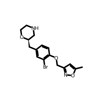 Cc1cc(COc2ccc(C[C@@H]3CNCCO3)cc2Br)no1